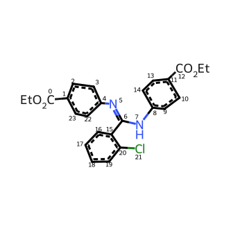 CCOC(=O)c1ccc(/N=C(/Nc2ccc(C(=O)OCC)cc2)c2ccccc2Cl)cc1